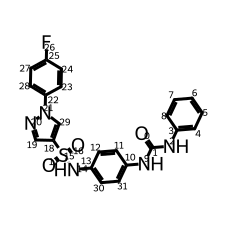 O=C(Nc1ccccc1)Nc1ccc(NS(=O)(=O)c2cnn(-c3ccc(F)cc3)c2)cc1